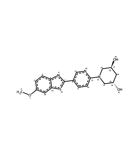 COc1ccc2nc(-c3ccc(N4C[C@@H](O)C[C@H](O)C4)nc3)sc2c1